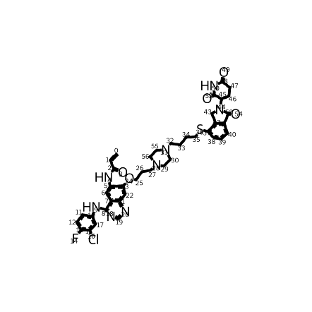 C=CC(=O)Nc1cc2c(Nc3ccc(F)c(Cl)c3)ncnc2cc1OCCCN1CCN(CCCCSc2cccc3c2CN(C2CCC(=O)NC2=O)C3=O)CC1